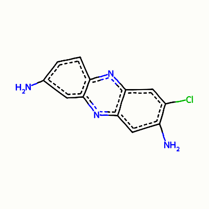 Nc1ccc2nc3cc(Cl)c(N)cc3nc2c1